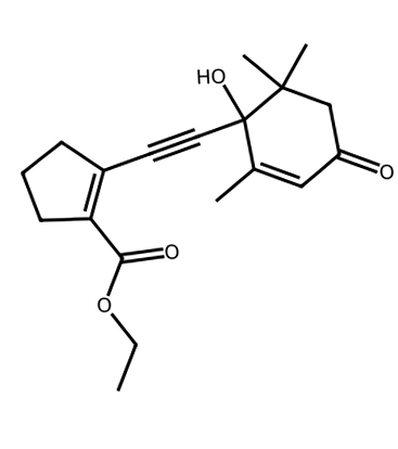 CCOC(=O)C1=C(C#CC2(O)C(C)=CC(=O)CC2(C)C)CCC1